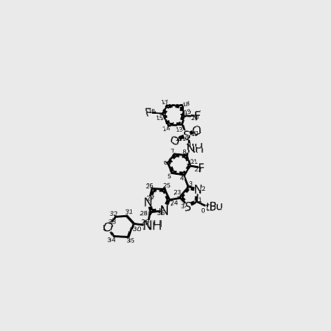 CC(C)(C)c1nc(-c2cccc(NS(=O)(=O)c3cc(F)ccc3F)c2F)c(-c2ccnc(NC3CCOCC3)n2)s1